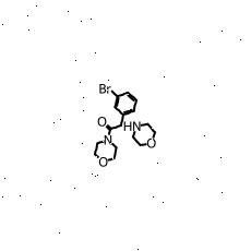 C1COCCN1.O=C(Cc1cccc(Br)c1)N1CCOCC1